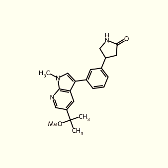 COC(C)(C)c1cnc2c(c1)c(-c1cccc(C3CNC(=O)C3)c1)cn2C